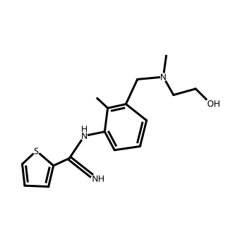 Cc1c(CN(C)CCO)cccc1NC(=N)c1cccs1